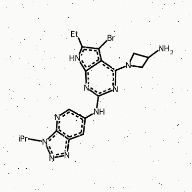 CCc1[nH]c2nc(Nc3cnc4c(c3)nnn4C(C)C)nc(N3CC(N)C3)c2c1Br